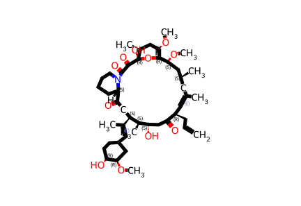 C=CC[C@@H]1/C=C(\C)C[C@H](C)C[C@H](OC)[C@H]2O[C@@](O)(C(=O)C(=O)N3CCCC[C@H]3C(=O)C[C@H](/C(C)=C/C3CC[C@@H](O)[C@H](OC)C3)[C@H](C)[C@@H](O)CC1=O)[C@H](C)C[C@@H]2OC